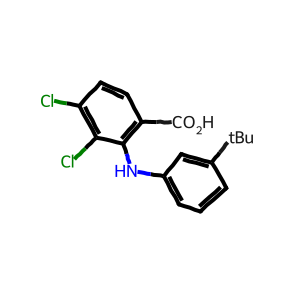 CC(C)(C)c1cccc(Nc2c(C(=O)O)ccc(Cl)c2Cl)c1